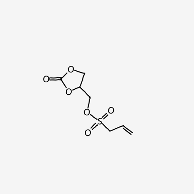 C=CCS(=O)(=O)OCC1COC(=O)O1